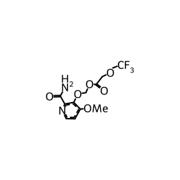 COc1ccnc(C(N)=O)c1OCOC(=O)COCC(F)(F)F